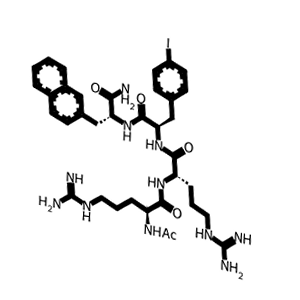 CC(=O)N[C@@H](CCCNC(=N)N)C(=O)N[C@@H](CCCNC(=N)N)C(=O)N[C@H](Cc1ccc(I)cc1)C(=O)N[C@H](Cc1ccc2ccccc2c1)C(N)=O